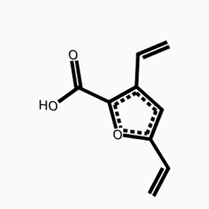 C=Cc1cc(C=C)c(C(=O)O)o1